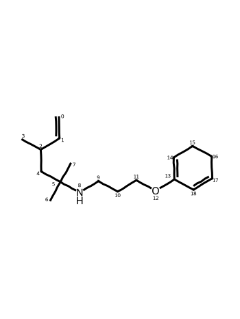 C=CC(C)CC(C)(C)NCCCOC1=CCCC=C1